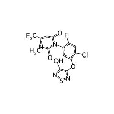 Cn1c(C(F)(F)F)cc(=O)n(-c2cc(Oc3nsnc3O)c(Cl)cc2F)c1=O